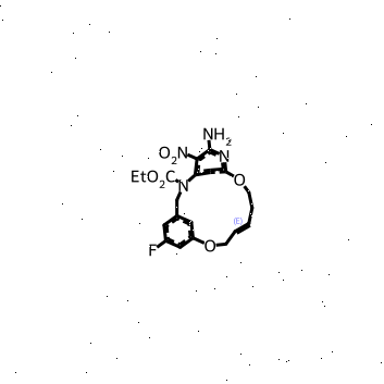 CCOC(=O)N1Cc2cc(F)cc(c2)OC/C=C/CCOc2cc1c([N+](=O)[O-])c(N)n2